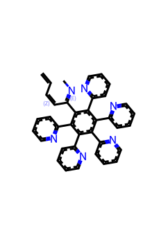 C=C/C=C\C(=N/C)c1c(-c2ccccn2)c(-c2ccccn2)c(-c2ccccn2)c(-c2ccccn2)c1-c1ccccn1